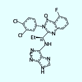 CC[C@H](Nc1ncnc2[nH]cnc12)c1nc2cccc(F)c2c(=O)n1-c1ccc(Cl)c(Cl)c1